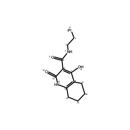 CC(C)CCNC(=O)c1c(O)c2c([nH]c1=O)CCCC2